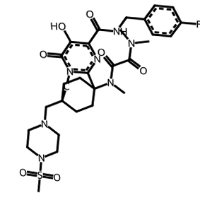 CN(C)C(=O)C(=O)N(C)C12CCC(CN3CCN(S(C)(=O)=O)CC3)(CC1)Cn1c2nc(C(=O)NCc2ccc(F)cc2)c(O)c1=O